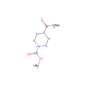 CCCCOC(=O)N1CCC(C(=O)OC)CC1